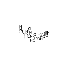 O=P(O)(O)COC[C@H]1O[C@@H](n2ccc3c(N[C@@H]4CCNC4)nc(Cl)nc32)[C@H](O)[C@@H]1O